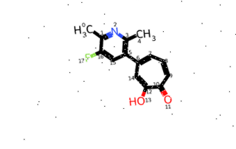 Cc1nc(C)c(-c2cccc(=O)c(O)c2)cc1F